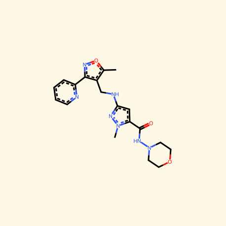 Cc1onc(-c2ccccn2)c1CNc1cc(C(=O)NN2CCOCC2)n(C)n1